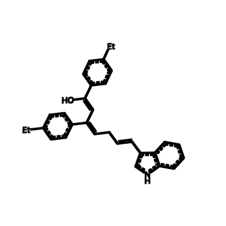 CCc1ccc(/C(O)=C/C(=C\C/C=C/c2c[nH]c3ccccc23)c2ccc(CC)cc2)cc1